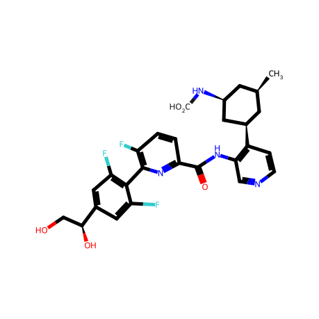 C[C@@H]1C[C@H](NC(=O)O)C[C@H](c2ccncc2NC(=O)c2ccc(F)c(-c3c(F)cc([C@@H](O)CO)cc3F)n2)C1